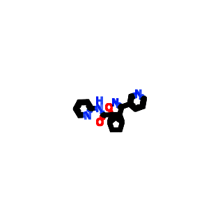 O=C(Nc1ccccn1)C12ON=C(c3cccnc3)C1C1CCC2C1